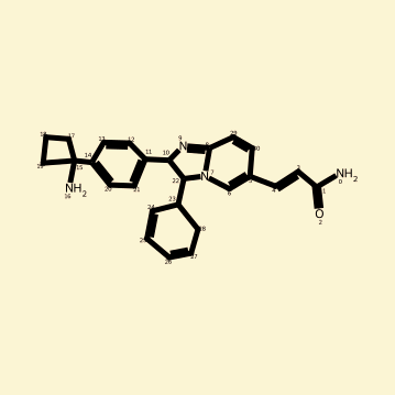 NC(=O)/C=C/C1=CN2C(=NC(c3ccc(C4(N)CCC4)cc3)C2C2C=CC=CC2)C=C1